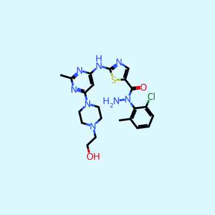 Cc1nc(Nc2ncc(C(=O)N(N)c3c(C)cccc3Cl)s2)cc(N2CCN(CCO)CC2)n1